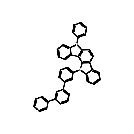 c1ccc(-c2cccc(-c3cccc(-n4c5ccccc5c5ccc6c(c7ccccc7n6-c6ccccc6)c54)c3)c2)cc1